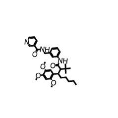 CCCCCC(c1cc(OC)c(OC)cc1OC)C(C(=O)Nc1cccc(CNC(=O)c2cccnc2)c1)C(C)(C)C